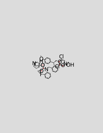 COc1ccc([C@@H](Cc2c(Cl)c[n+](O)cc2Cl)c2c(CN(C(=O)O[C@H]3CN4CCC3CC4)c3ccccc3F)cccc2C(=O)[O-])cc1OCC1CC1